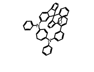 C1=CC(N(c2ccccc2)c2ccc3c(c2)C2(c4ccccc4Oc4ccccc42)c2ccccc2-3)=CCC=C1N(c1ccccc1)c1cccc(C2=CCCCC2)c1